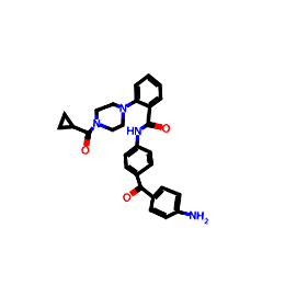 Nc1ccc(C(=O)c2ccc(NC(=O)c3ccccc3N3CCN(C(=O)C4CC4)CC3)cc2)cc1